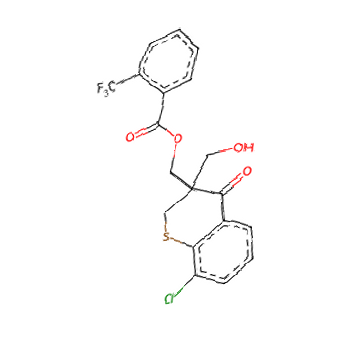 O=C(OCC1(CO)CSc2c(Cl)cccc2C1=O)c1ccccc1C(F)(F)F